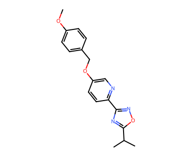 COc1ccc(COc2ccc(-c3noc(C(C)C)n3)nc2)cc1